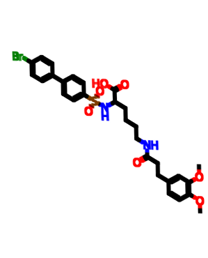 COc1ccc(CCC(=O)NCCCCC(NS(=O)(=O)c2ccc(-c3ccc(Br)cc3)cc2)C(=O)O)cc1OC